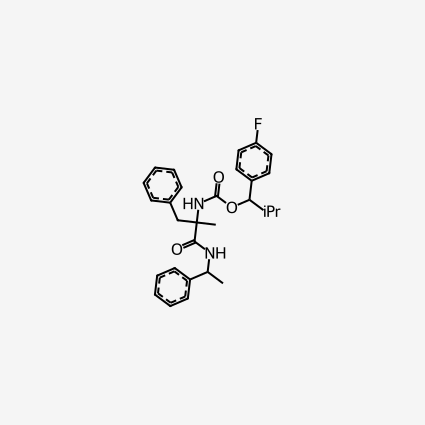 CC(NC(=O)C(C)(Cc1ccccc1)NC(=O)OC(c1ccc(F)cc1)C(C)C)c1ccccc1